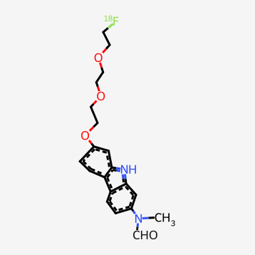 CN(C=O)c1ccc2c(c1)[nH]c1cc(OCCOCCOCC[18F])ccc12